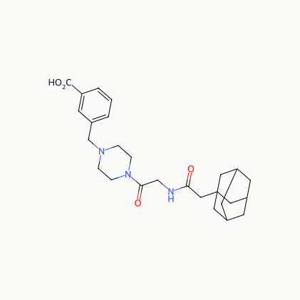 O=C(CC12CC3CC(CC(C3)C1)C2)NCC(=O)N1CCN(Cc2cccc(C(=O)O)c2)CC1